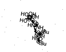 CC(C)(C)OC(=O)NC(=NCCCC[C@H](NC(=O)CO[C@@H]1O[C@@H](CO)[C@H](O)[C@@H](O)[C@H]1O)C(N)=O)NC(=O)OC(C)(C)C